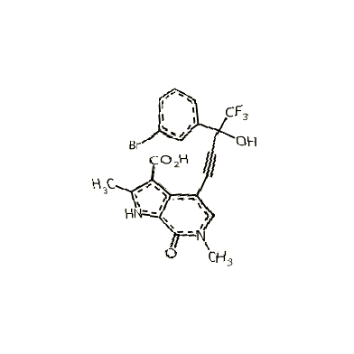 Cc1[nH]c2c(=O)n(C)cc(C#CC(O)(c3cccc(Br)c3)C(F)(F)F)c2c1C(=O)O